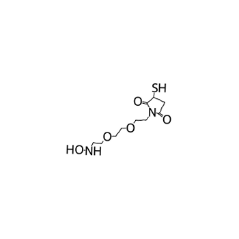 O=C1CC(S)C(=O)N1CCOCCOCCNO